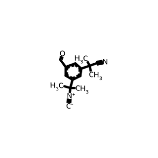 [C-]#[N+]C(C)(C)c1cc(C=O)cc(C(C)(C)C#N)c1